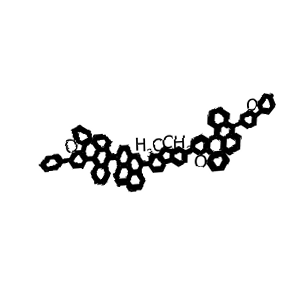 CC1(C)c2cc(-c3cc4ccc(-c5c6ccccc6c(-c6ccc(-c7ccccc7)c7oc8ccccc8c67)c6ccccc56)c5ccc6cccc3c6c45)ccc2-c2ccc(-c3ccc(-c4c5ccccc5c(-c5ccc6c(c5)oc5ccccc56)c5ccccc45)c4c3oc3ccccc34)cc21